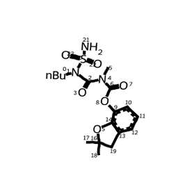 CCCCN(C(=O)N(C)C(=O)Oc1cccc2c1OC(C)(C)C2)S(N)(=O)=O